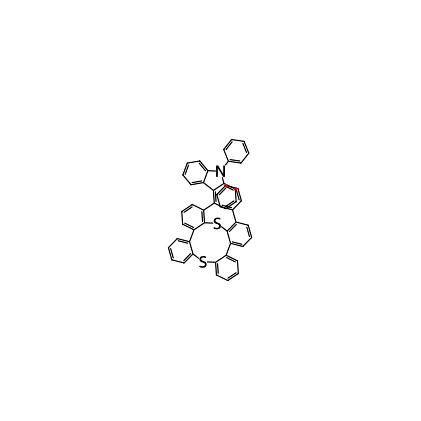 c1ccc(-c2cccc3c2Sc2c(cccc2-c2cccc4c2c2ccccc2n4-c2ccccc2)-c2ccccc2Sc2ccccc2-3)cc1